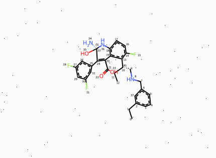 CCc1cccc(CNC[C@H](CC)c2c(F)ccc3c2C(C(=O)O)=C(c2cc(F)cc(F)c2)[C@@](N)(O)N3)c1